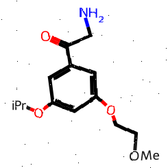 COCCOc1cc(OC(C)C)cc(C(=O)CN)c1